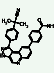 CC(C)(C#N)c1ccc(-c2n[nH]c3cnc4ccc(-c5ccc(C(N)=O)cc5)cc4c23)cc1